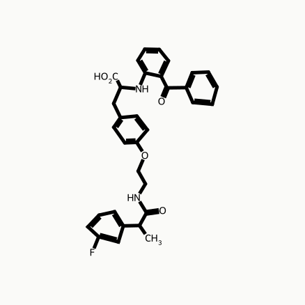 CC(C(=O)NCCOc1ccc(CC(Nc2ccccc2C(=O)c2ccccc2)C(=O)O)cc1)c1cccc(F)c1